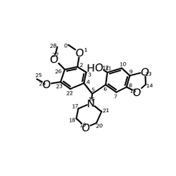 COc1cc(C(c2cc3c(cc2O)OCO3)N2CCOCC2)cc(OC)c1OC